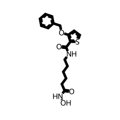 O=C(CCCCCNC(=O)c1sccc1OCc1ccccc1)NO